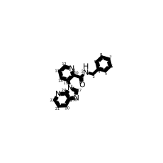 O=C(NCc1ccccc1)c1ncccc1-n1cnc2cccnc21